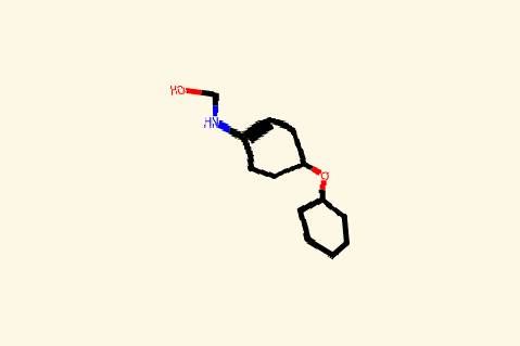 OCNC1=CCC(OC2CCCCC2)CC1